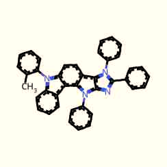 Cc1ccccc1-n1c2ccccc2c2c1ccc1c3c(nc(-c4ccccc4)n3-c3ccccc3)n(-c3ccccc3)c12